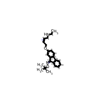 CCNC/C=C\COc1ccc2c(c1)/C(=N/OC(C)(C)C)c1ccccc1-2